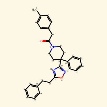 Cc1ccc(CC(=O)N2CCC(c3ccccc3)(c3noc(CCc4ccccc4)n3)CC2)cc1